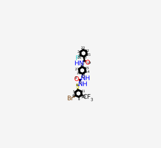 O=C(NSc1cc(Br)cc(C(F)(F)F)c1)Nc1ccc(NC(=O)c2ccccc2F)cc1